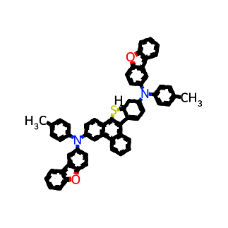 Cc1ccc(N(C2=CC=C3c4c(c5ccc(N(c6ccc(C)cc6)c6ccc7oc8ccccc8c7c6)cc5c5ccccc45)S[C@H]3C2)c2ccc3oc4ccccc4c3c2)cc1